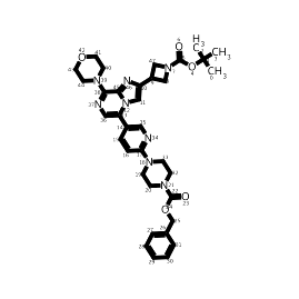 CC(C)(C)OC(=O)N1CC(c2cn3c(-c4ccc(N5CCN(C(=O)OCc6ccccc6)CC5)nc4)cnc(N4CCOCC4)c3n2)C1